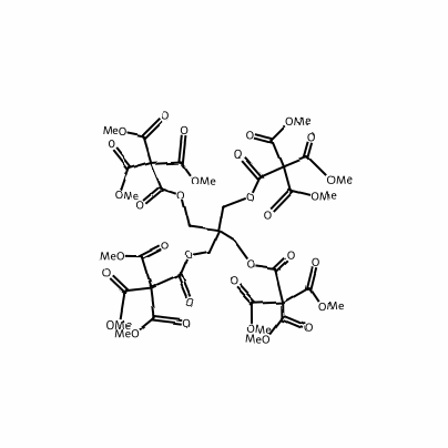 COC(=O)C(C(=O)OC)(C(=O)OC)C(=O)OCC(COC(=O)C(C(=O)OC)(C(=O)OC)C(=O)OC)(COC(=O)C(C(=O)OC)(C(=O)OC)C(=O)OC)COC(=O)C(C(=O)OC)(C(=O)OC)C(=O)OC